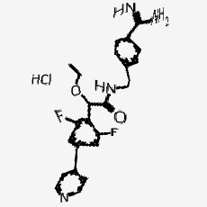 CCOC(C(=O)NCc1ccc(C(=N)N)cc1)c1c(F)cc(-c2ccncc2)cc1F.Cl